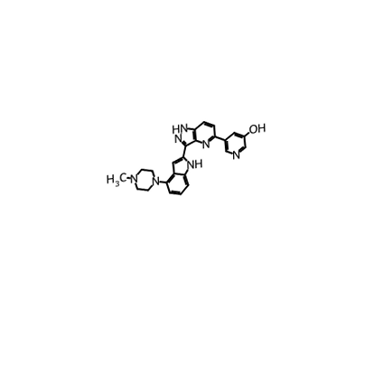 CN1CCN(c2cccc3[nH]c(-c4n[nH]c5ccc(-c6cncc(O)c6)nc45)cc23)CC1